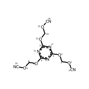 N#COCOc1nc(OCOC#N)nc(OCOC#N)n1